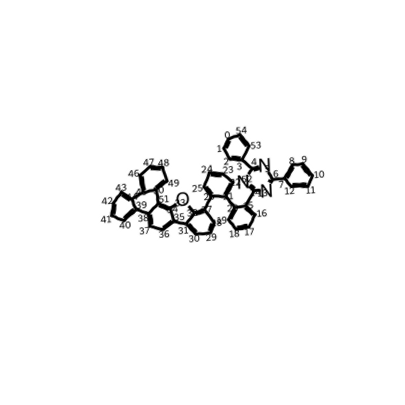 c1ccc(-c2nc(-c3ccccc3)nc(-c3ccccc3-c3ccccc3-c3cccc4c3oc3c4ccc4c5ccccc5c5ccccc5c43)n2)cc1